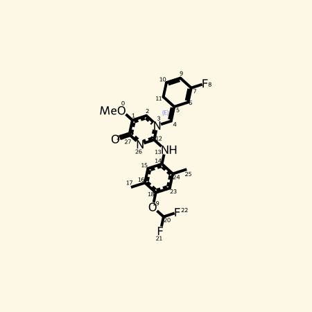 COc1cn(/C=C2/C=C(F)C=CC2)c(Nc2cc(C)c(OC(F)F)cc2C)nc1=O